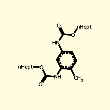 CCCCCCCOC(=O)Nc1ccc(C)c(NC(=O)OCCCCCCC)c1